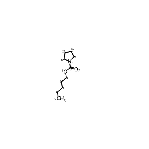 CCCCCOC(=O)N1C[CH]CC1